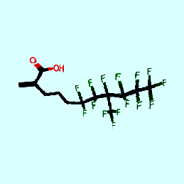 C=C(CCCC(F)(F)C(F)(F)C(F)(C(F)(F)F)C(F)(F)C(F)(F)C(F)(F)F)C(=O)O